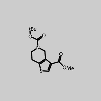 COC(=O)c1csc2c1CN(C(=O)OC(C)(C)C)CC2